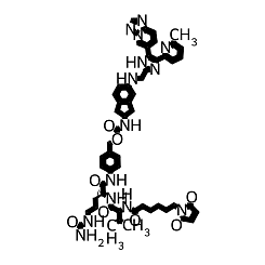 Cc1cccc(-c2nc(CNc3ccc4c(c3)CC(NC(=O)OCc3ccc(NC(=O)[C@H](CCCNC(N)=O)NC(=O)C(NC(=O)CCCCCN5C(=O)C=CC5=O)C(C)C)cc3)C4)[nH]c2-c2ccc3ncnn3c2)n1